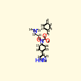 Cc1ccc(COC(=O)N(OCCN(C)C)c2ccc(-c3cn[nH]c3)cc2)cc1